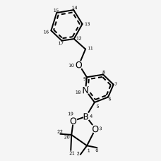 CC1(C)OB(c2cccc(OCc3ccccc3)n2)OC1(C)C